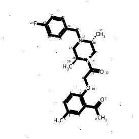 CC(=O)c1cc(C)ccc1OCC(=O)N1C[C@@H](C)N(Cc2ccc(F)cc2)C[C@@H]1C